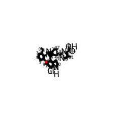 CCc1cccc(CC)c1-n1nc2c(c1-c1ccc(Cl)c3[nH]ccc13)CN(c1ncc(C)c(C(=O)O)n1)CC2